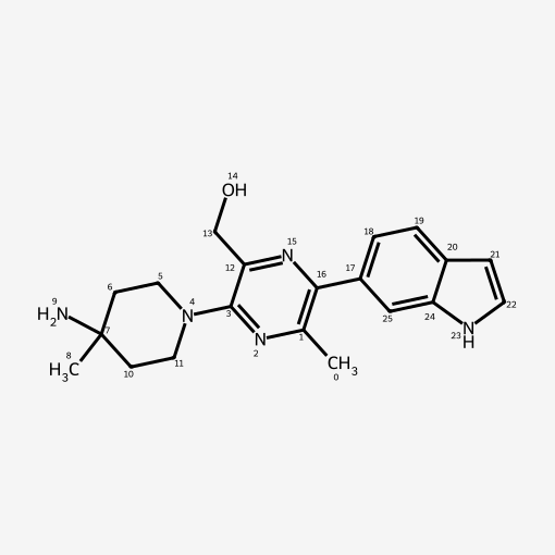 Cc1nc(N2CCC(C)(N)CC2)c(CO)nc1-c1ccc2cc[nH]c2c1